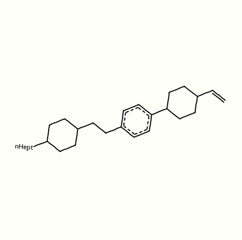 C=CC1CCC(c2ccc(CCC3CCC(CCCCCCC)CC3)cc2)CC1